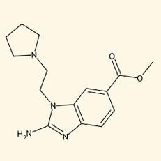 COC(=O)c1ccc2nc(N)n(CCN3CCCC3)c2c1